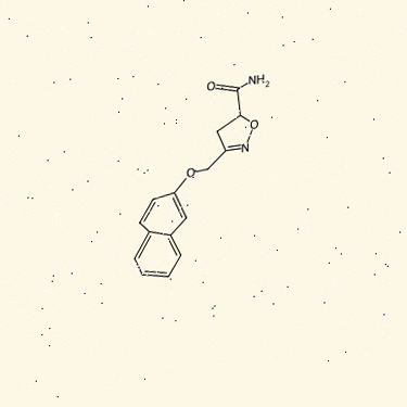 NC(=O)C1CC(COc2ccc3ccccc3c2)=NO1